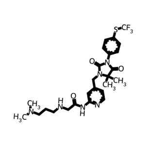 CN(C)CCCNCC(=O)Nc1cc(CN2C(=O)N(c3ccc(SC(F)(F)F)cc3)C(=O)C2(C)C)ccn1